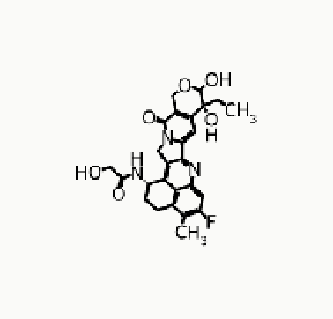 CC[C@]1(O)c2cc3n(c(=O)c2COC1O)Cc1c-3nc2cc(F)c(C)c3c2c1[C@@H](NC(=O)CO)CC3